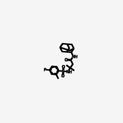 Cc1cc(F)ccc1S(=O)(=O)NC(C)(C)CC(=O)NC1C2CC3CC(C2)CC1C3